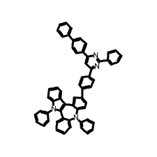 c1ccc(-c2ccc(-c3cc(-c4ccc(-c5ccc6c(c5)-c5c(n(-c7ccccc7)c7ccccc57)-c5ccccc5N6c5ccccc5)cc4)nc(-c4ccccc4)n3)cc2)cc1